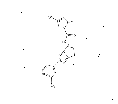 Cn1nc(C(F)(F)F)cc1C(=O)N[C@@H]1CCc2nn(-c3ccnc(C(F)(F)F)c3)cc21